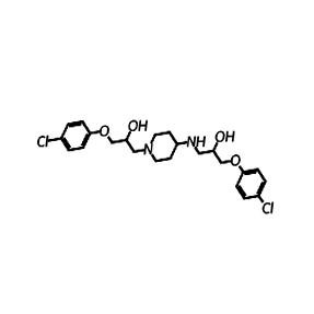 OC(CNC1CCN(CC(O)COc2ccc(Cl)cc2)CC1)COc1ccc(Cl)cc1